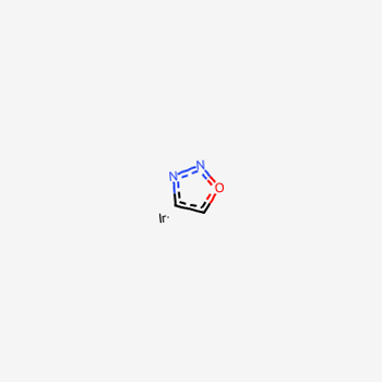 [Ir].c1conn1